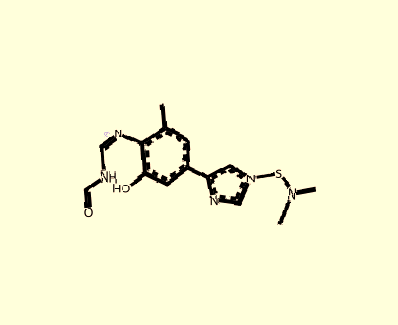 Cc1cc(-c2cn(SN(C)C)cn2)cc(O)c1/N=C\NC=O